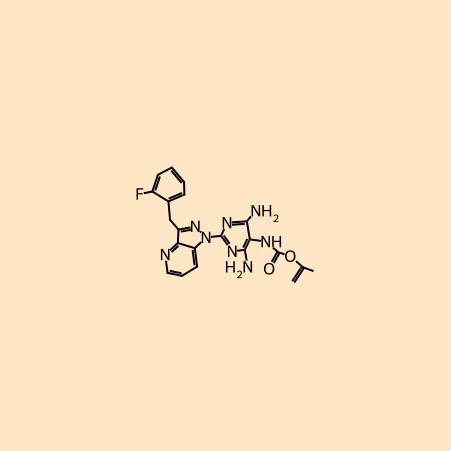 C=C(C)OC(=O)Nc1c(N)nc(-n2nc(Cc3ccccc3F)c3ncccc32)nc1N